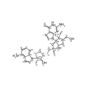 Nc1nc2c(ncn2[C@@]2(OP(O)(=S)OC[C@H]3OC[C@](F)(n4cnc5c(N)ncnc54)[C@@H]3O)CO[C@H](CO)C2(F)F)c(=O)[nH]1